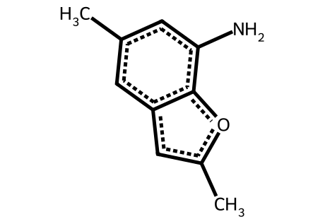 Cc1cc(N)c2oc(C)cc2c1